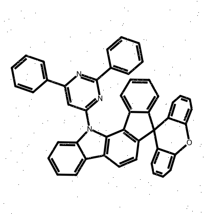 c1ccc(-c2cc(-n3c4ccccc4c4ccc5c(c43)-c3ccccc3C53c4ccccc4Oc4ccccc43)nc(-c3ccccc3)n2)cc1